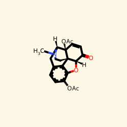 CC(=O)Oc1ccc2c3c1O[C@H]1C(=O)C=C[C@@]4(OC(C)=O)[C@@H](C2)N(C)CC[C@]314